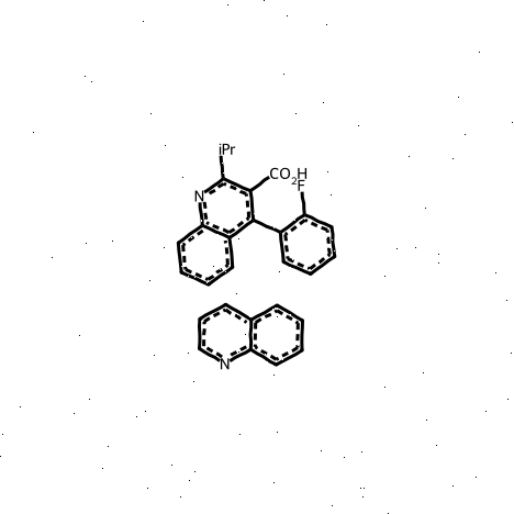 CC(C)c1nc2ccccc2c(-c2ccccc2F)c1C(=O)O.c1ccc2ncccc2c1